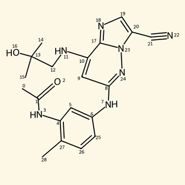 CC(=O)Nc1cc(Nc2cc(NCC(C)(C)O)c3ncc(C#N)n3n2)ccc1C